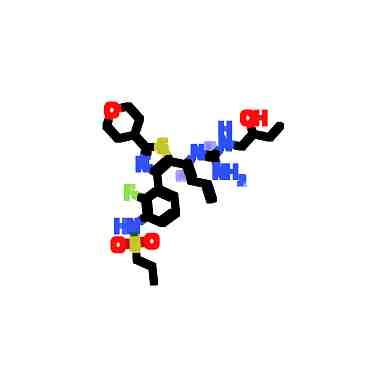 C=C/C=C(\N=C(/N)NCC(O)CC)c1sc(C2CCOCC2)nc1-c1cccc(NS(=O)(=O)CCC)c1F